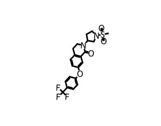 CS(=O)(=O)N1CCC(N2CCc3ccc(Oc4ccc(C(F)(F)F)cc4)cc3C2=O)C1